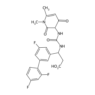 CC1=CC(=O)C(NC(=O)NC(CC(=O)O)c2cc(F)cc(-c3ccc(F)cc3F)c2)C(=O)N1C